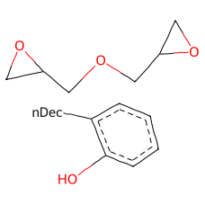 C(OCC1CO1)C1CO1.CCCCCCCCCCc1ccccc1O